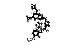 COc1ccc(-n2cnnn2)c(CNC(=O)c2cn(Cc3cn4cc(C5CC5)cc(CC5COC5)c4n3)nn2)c1F